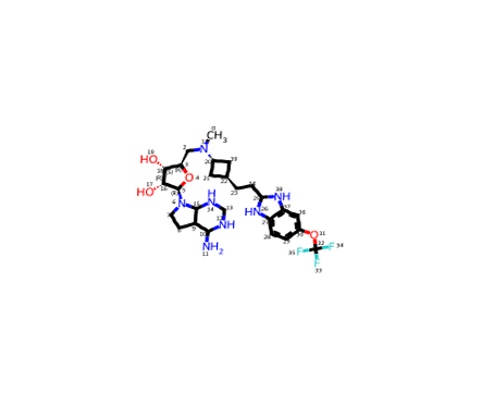 CN(C[C@H]1O[C@@H](N2CCC3C(N)NCNC32)[C@H](O)[C@@H]1O)[C@H]1C[C@H](CCC2Nc3ccc(OC(F)(F)F)cc3N2)C1